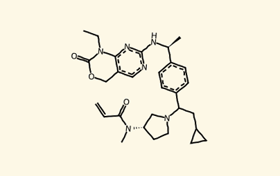 C=CC(=O)N(C)[C@H]1CCN(C(CC2CC2)c2ccc([C@H](C)Nc3ncc4c(n3)N(CC)C(=O)OC4)cc2)C1